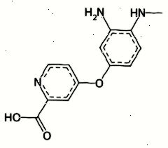 CNc1ccc(Oc2ccnc(C(=O)O)c2)cc1N